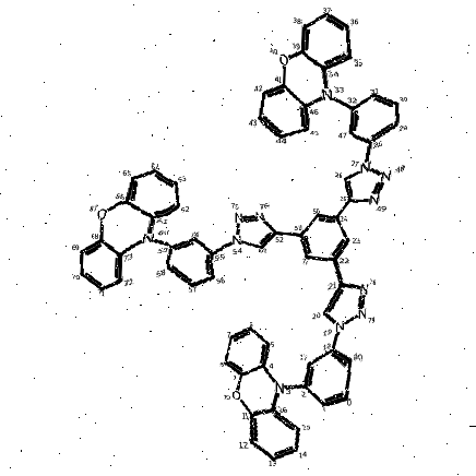 c1cc(N2c3ccccc3Oc3ccccc32)cc(-n2cc(-c3cc(-c4cn(-c5cccc(N6c7ccccc7Oc7ccccc76)c5)nn4)cc(-c4cn(-c5cccc(N6c7ccccc7Oc7ccccc76)c5)nn4)c3)nn2)c1